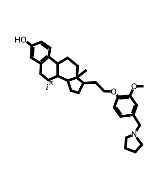 COc1cc(CN2CCCC2)ccc1OCCC1CCC2C3C(CCC12C)c1ccc(O)cc1C[C@H]3C